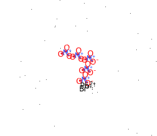 O=[N+]([O-])[O-].O=[N+]([O-])[O-].O=[N+]([O-])[O-].O=[N+]([O-])[O-].O=[N+]([O-])[O-].[Bi+3].[Pb+2]